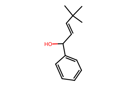 CC(C)(C)/C=C/C(O)c1ccccc1